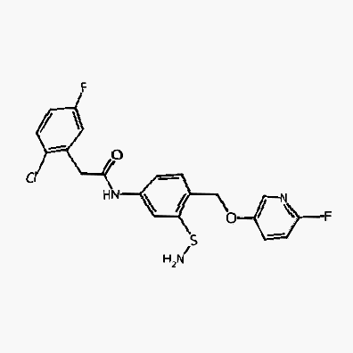 NSc1cc(NC(=O)Cc2cc(F)ccc2Cl)ccc1COc1ccc(F)nc1